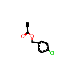 C#CC(=O)OCc1ccc(Cl)cc1